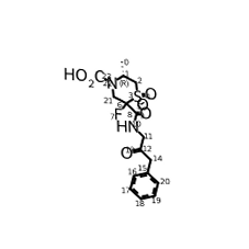 C[C@@H]1CS(=O)(=O)C(F)(C(=O)NCC(=O)Cc2ccccc2)CN1C(=O)O